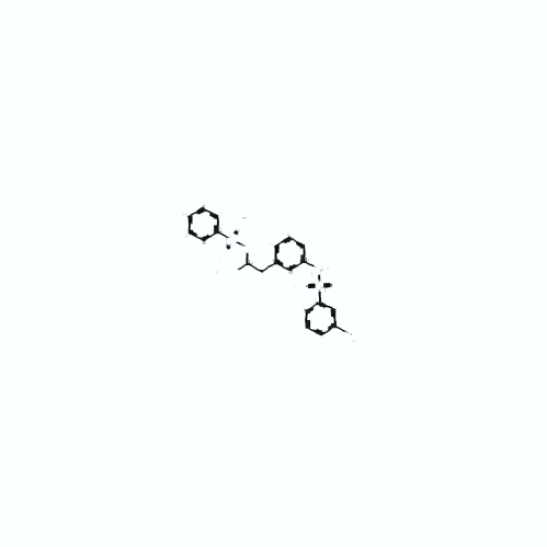 Nc1cccc(S(=O)(=O)Nc2cccc(CC(NS(=O)(=O)c3ccccc3)C(=O)O)c2)c1